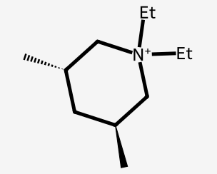 CC[N+]1(CC)C[C@@H](C)C[C@H](C)C1